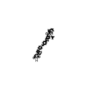 O=C1CCN(c2ccnc3c2ccn3C2CCN(CCC3CCC(n4cc5cc(C(=O)Nc6cnc7cccnn67)c(OC6CC6)cc5n4)CC3)CC2)C(=O)N1